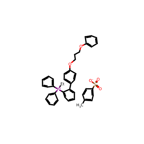 CC[P+](c1ccccc1)(c1ccccc1)c1ccccc1-c1ccc(OCCCOc2ccccc2)cc1.Cc1ccc(S(=O)(=O)[O-])cc1